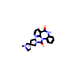 CN1CC[C@@]2(CCN(C(=O)N3c4ccccc4NC(=O)c4cccnc43)C2)C1